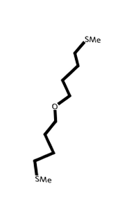 CSCCCCOCCCCSC